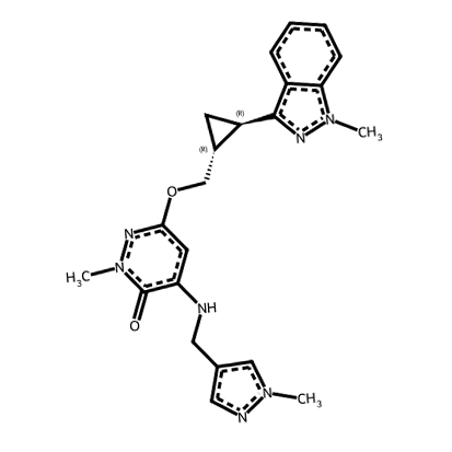 Cn1cc(CNc2cc(OC[C@@H]3C[C@H]3c3nn(C)c4ccccc34)nn(C)c2=O)cn1